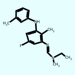 CCN(C)/C=N/c1cc(F)cc(Nc2cccc(C)c2)c1C